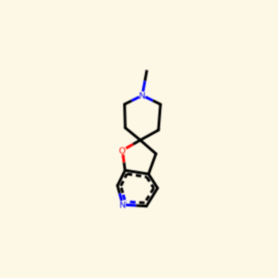 CN1CCC2(CC1)Cc1ccncc1O2